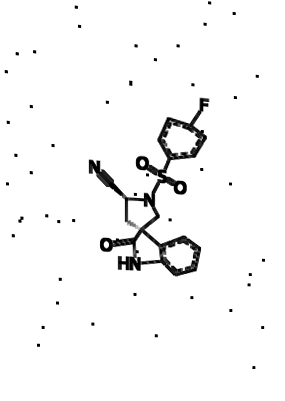 N#C[C@@H]1C[C@@]2(CN1S(=O)(=O)c1ccc(F)cc1)C(=O)Nc1ccccc12